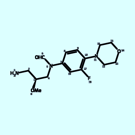 CO[C@@H](CN)CN(C=O)c1ccc(N2CCOCC2)c(F)c1